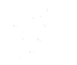 CCCCNc1nc(NC(C)=O)c2nc(O)n(Cc3ccccc3)c2n1